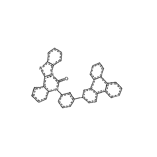 O=c1n(-c2cccc(-c3ccc4c5ccccc5c5ccccc5c4c3)c2)c2ccccc2c2nc3ccccc3n12